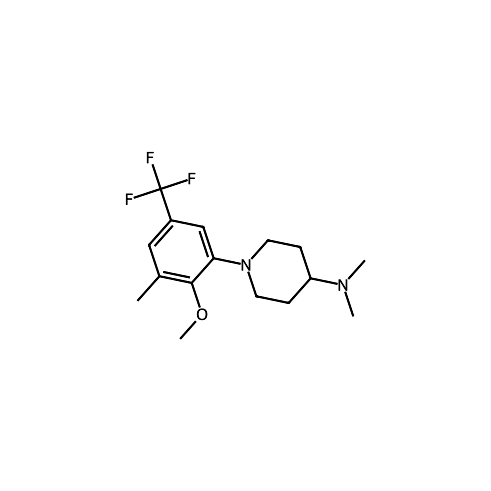 COc1c(C)cc(C(F)(F)F)cc1N1CCC(N(C)C)CC1